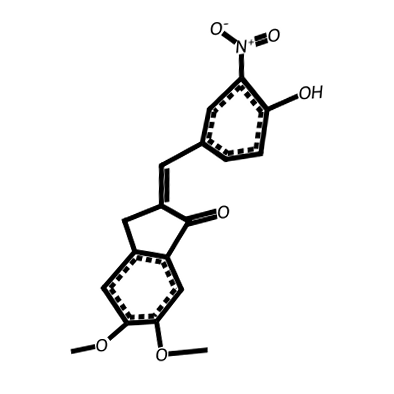 COc1cc2c(cc1OC)C(=O)C(=Cc1ccc(O)c([N+](=O)[O-])c1)C2